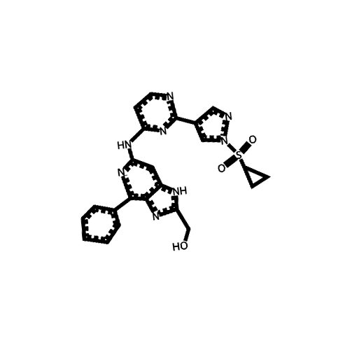 O=S(=O)(C1CC1)n1cc(-c2nccc(Nc3cc4[nH]c(CO)nc4c(-c4ccccc4)n3)n2)cn1